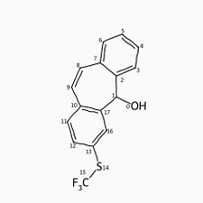 OC1c2ccccc2C=Cc2ccc(SC(F)(F)F)cc21